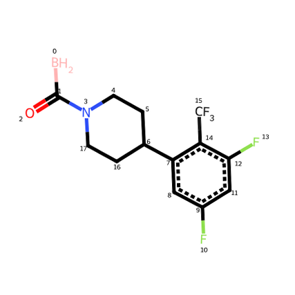 BC(=O)N1CCC(c2cc(F)cc(F)c2C(F)(F)F)CC1